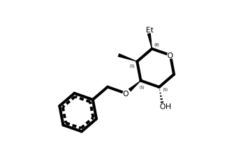 CC[C@H]1OC[C@H](O)[C@@H](OCc2ccccc2)[C@H]1C